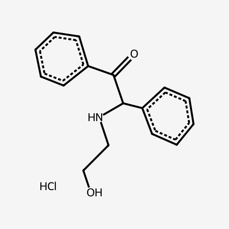 Cl.O=C(c1ccccc1)C(NCCO)c1ccccc1